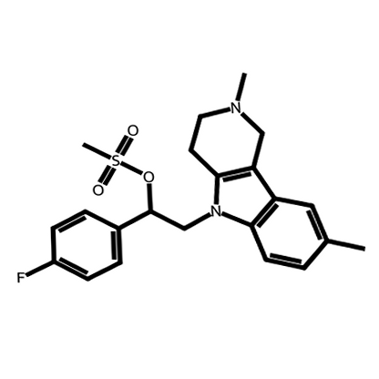 Cc1ccc2c(c1)c1c(n2CC(OS(C)(=O)=O)c2ccc(F)cc2)CCN(C)C1